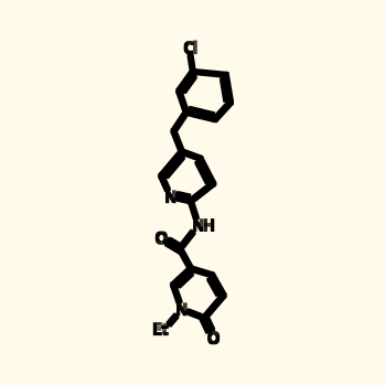 CCn1cc(C(=O)Nc2ccc(Cc3cccc(Cl)c3)cn2)ccc1=O